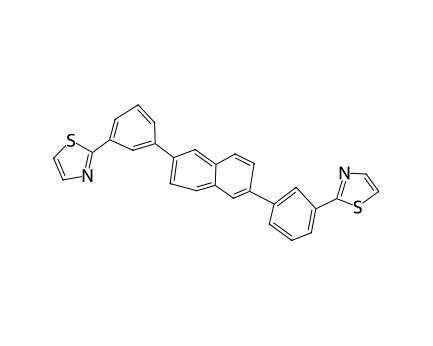 c1cc(-c2ccc3cc(-c4cccc(-c5nccs5)c4)ccc3c2)cc(-c2nccs2)c1